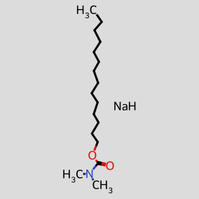 CCCCCCCCCCCCCCOC(=O)N(C)C.[NaH]